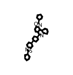 c1ccc(-c2nc3c(ccc4c(-c5ccc(-c6ccc7nc(-c8ccccc8)sc7c6)cc5)nc5ccccc5c43)o2)cc1